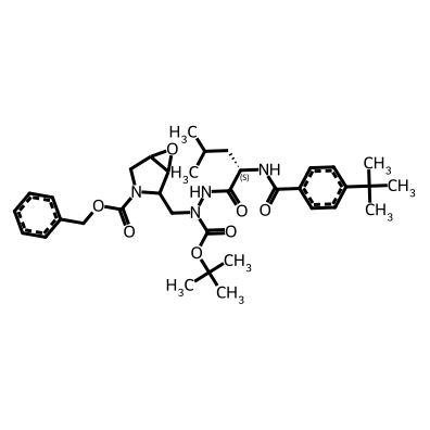 CC(C)C[C@H](NC(=O)c1ccc(C(C)(C)C)cc1)C(=O)NN(CC1C2OC2CN1C(=O)OCc1ccccc1)C(=O)OC(C)(C)C